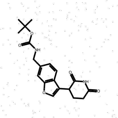 CC(C)(C)OC(=O)NCc1ccc2c(C3CCC(=O)NC3=O)coc2c1